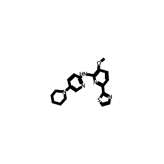 COc1ccc(-c2nccs2)nc1Nc1ccc(N2CCCCC2)cn1